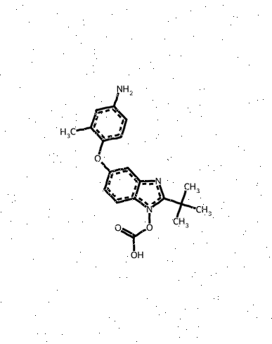 Cc1cc(N)ccc1Oc1ccc2c(c1)nc(C(C)(C)C)n2OC(=O)O